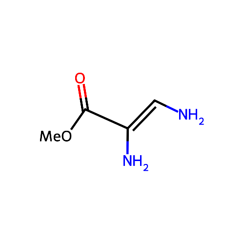 COC(=O)C(N)=CN